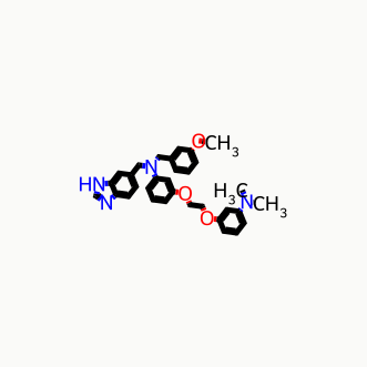 COc1cccc(CN(Cc2ccc3nc[nH]c3c2)c2cccc(OCCOc3cccc(N(C)C)c3)c2)c1